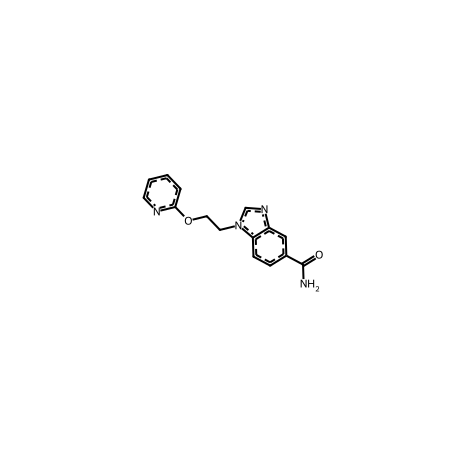 NC(=O)c1ccc2c(c1)ncn2CCOc1ccccn1